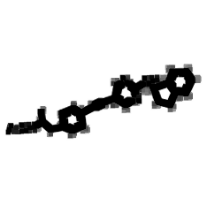 CC(=O)NC(C)Cc1ccc(C#Cc2cnc(N[C@H]3CCc4ccccc43)nc2)cc1